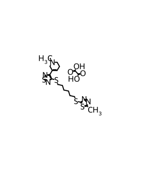 Cc1nnc(SCCCCCCSc2nsnc2C2=CCCN(C)C2)s1.O=C(O)C(=O)O